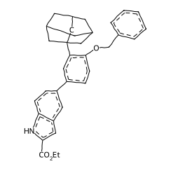 CCOC(=O)c1cc2cc(-c3ccc(OCc4ccccc4)c(C45CC6CC(CC(C6)C4)C5)c3)ccc2[nH]1